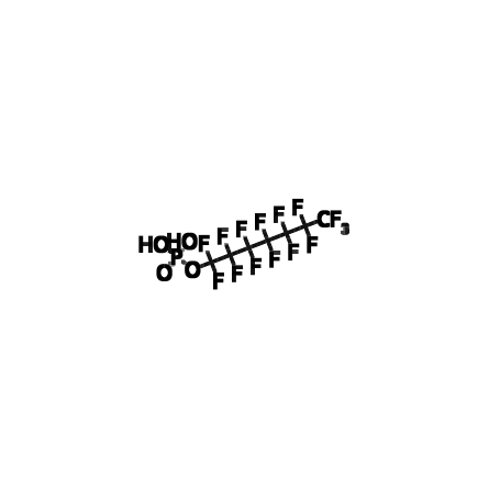 O=P(O)(O)OC(F)(F)C(F)(F)C(F)(F)C(F)(F)C(F)(F)C(F)(F)C(F)(F)F